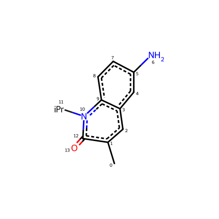 Cc1cc2cc(N)ccc2n(C(C)C)c1=O